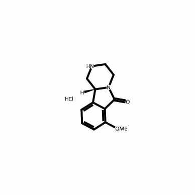 COc1cccc2c1C(=O)N1CCNC[C@@H]21.Cl